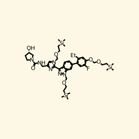 CCc1cc(OCOCC[Si](C)(C)C)c(F)cc1-c1ccc2c(-c3nc(CNC(=O)N4CC[C@H](O)C4)cn3COCC[Si](C)(C)C)nn(COCC[Si](C)(C)C)c2c1